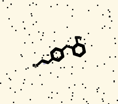 COc1ccccc1Sc1ccc(/C=C/[N+](=O)[O-])cc1